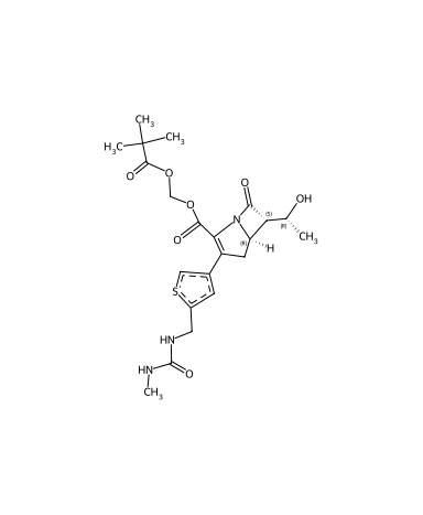 CNC(=O)NCc1cc(C2=C(C(=O)OCOC(=O)C(C)(C)C)N3C(=O)[C@H]([C@@H](C)O)[C@H]3C2)cs1